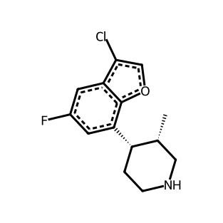 C[C@@H]1CNCC[C@@H]1c1cc(F)cc2c(Cl)coc12